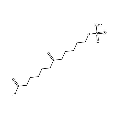 CCC(=O)CCCCCC(=O)CCCCCOS(=O)(=O)OC